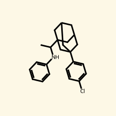 CC(Nc1ccccc1)C12CC3CC(CC(c4ccc(Cl)cc4)(C3)C1)C2